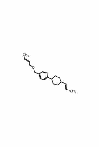 CC=CCOCc1ccc(C2CCC(/C=C/C)CC2)cc1